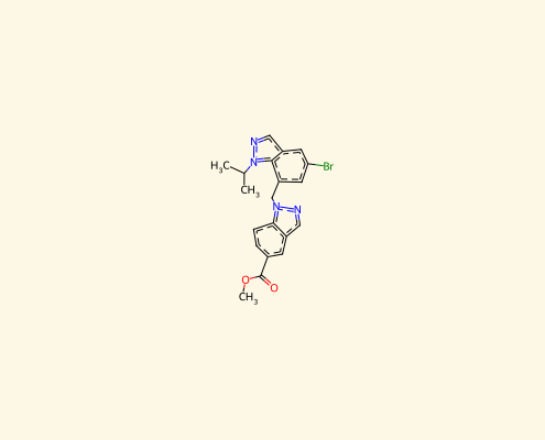 COC(=O)c1ccc2c(cnn2Cc2cc(Br)cc3cnn(C(C)C)c23)c1